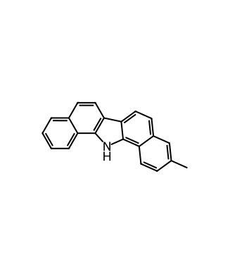 Cc1ccc2c(ccc3c4ccc5ccccc5c4[nH]c23)c1